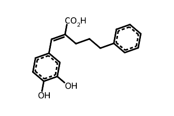 O=C(O)/C(=C/c1ccc(O)c(O)c1)CCCc1ccccc1